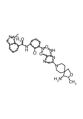 C[C@@H]1OCC2(CCN(c3cnc4on(-c5cccc(NC(=O)c6cccc7cnn(C)c67)c5Cl)o[nH]c4n3)CC2)[C@@H]1N